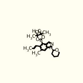 CC=Cc1c(C)cc2c(cnn2C2CCCCO2)c1B1OC(C)(C)C(C)(C)O1